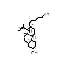 CC(C)CCC[C@@H](C)[C@H]1CC(=O)[C@H]2[C@@H]3CCC4C[C@@H](O)CC[C@]4(C)[C@H]3CC[C@]12C